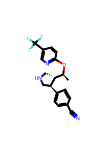 C[C@H](Oc1ccc(C(F)(F)F)cn1)[C@H]1CNC[C@@H]1c1ccc(C#N)cc1